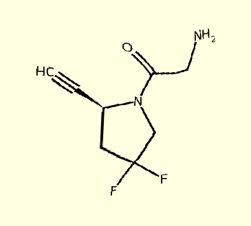 C#C[C@@H]1CC(F)(F)CN1C(=O)CN